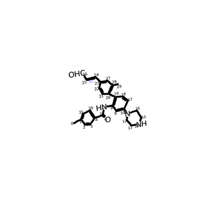 Cc1ccc(C(=O)Nc2cc(N3CCNCC3)ccc2-c2ccc(/C=C/C=O)cc2C)cc1